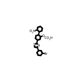 O=C(O)Oc1cc(-c2nc(-c3cccc(Br)c3)cs2)ccc1-c1ccccc1[N+](=O)[O-]